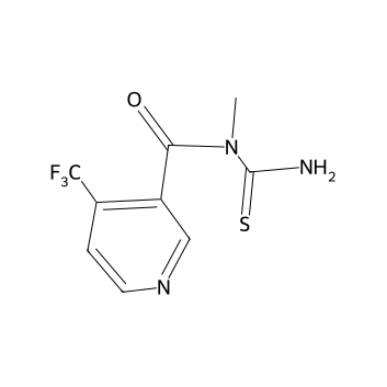 CN(C(=O)c1cnccc1C(F)(F)F)C(N)=S